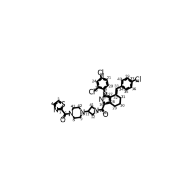 O=C(c1nccs1)N1CCN(C2CN(C(=O)c3nn(-c4ccc(Cl)cc4Cl)c4c3CCC/C4=C\c3ccc(Cl)cc3)C2)CC1